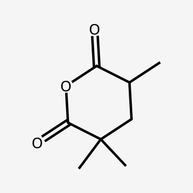 CC1CC(C)(C)C(=O)OC1=O